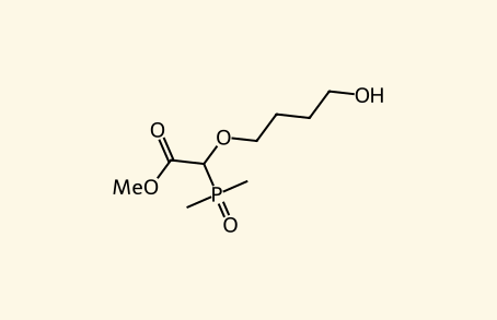 COC(=O)C(OCCCCO)P(C)(C)=O